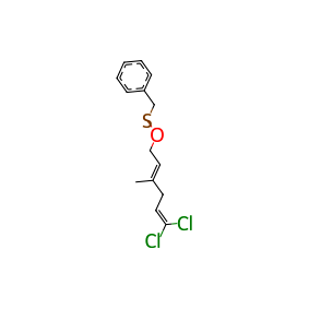 C/C(=C\COSCc1ccccc1)CC=C(Cl)Cl